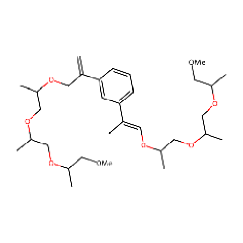 C=C(COC(C)COC(C)COC(C)COC)c1cccc(/C(C)=C/OC(C)COC(C)COC(C)COC)c1